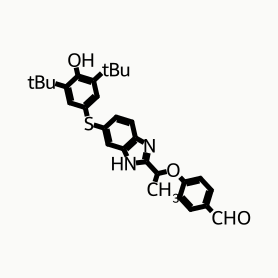 CC(Oc1ccc(C=O)cc1)c1nc2ccc(Sc3cc(C(C)(C)C)c(O)c(C(C)(C)C)c3)cc2[nH]1